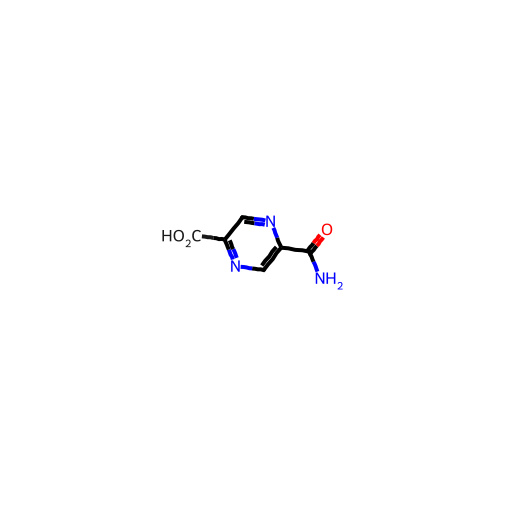 NC(=O)c1cnc(C(=O)O)cn1